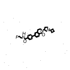 O=C(NCCF)c1ccc(-c2ccc3c(c2)CCN(C2CCN(C4CCC4)C2)C3=O)cc1